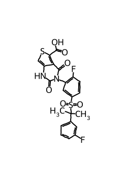 CC(C)(c1cccc(F)c1)S(=O)(=O)c1ccc(F)c(-n2c(=O)[nH]c3csc(C(=O)O)c3c2=O)c1